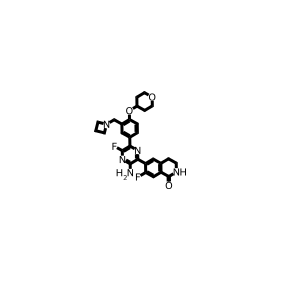 Nc1nc(F)c(-c2ccc(OC3CCOCC3)c(CN3CCC3)c2)nc1-c1cc2c(cc1F)C(=O)NCC2